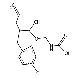 C=CCC(Cc1ccc(Cl)cc1)C(C)OCNC(=O)O